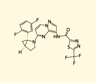 O=C(Nc1cnn2ccc(N3CC[C@H]4C[C@]43c3cc(F)ccc3F)nc12)c1nnc(C(F)(F)F)s1